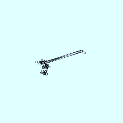 C=C=C=C=C=C=C=C=C=C=C=C=C=C=C=C=C=C=C=C=C=C=C=C=C=C=C=C=C=C=C=C=C=C=C=C(N(C(C)=O)C1CC(=O)N(C)C1=O)N(C(C)=O)C1CC(=O)N(c2c(CC)cc(Cc3cc(CC)c(N(C(C)=O)C(C)=O)c(CC)c3)cc2CC)C1=O